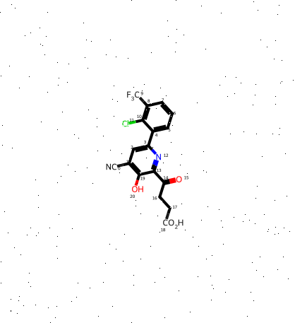 N#Cc1cc(-c2cccc(C(F)(F)F)c2Cl)nc(C(=O)CCC(=O)O)c1O